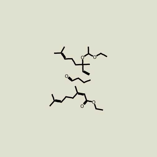 C=CC(C)(CCC=C(C)C)OC(C)OCC.CCCC=O.CCOC(=O)C=C(C)CCC=C(C)C